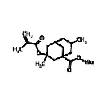 C=C(C)C(=O)OC1(C)CC2CC(C)CC(C(=O)OC(C)(C)C)(C2)C1